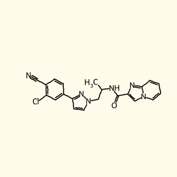 CC(Cn1ccc(-c2ccc(C#N)c(Cl)c2)n1)NC(=O)c1cn2ccccc2n1